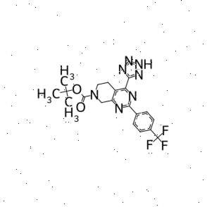 CC(C)(C)OC(=O)N1CCc2c(nc(-c3ccc(C(F)(F)F)cc3)nc2-c2nn[nH]n2)C1